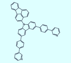 c1cncc(-c2ccc(-c3ccc4c(c3)c3cc(-c5ccc(-c6cccnc6)cc5)ccc3n4-c3ccc4c5c(cccc35)-c3ccccc3-4)cc2)c1